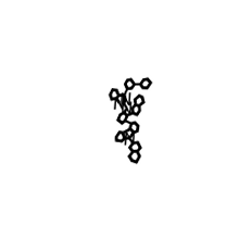 c1ccc(-c2cccc(-c3nc(-n4c5cccc(-c6cccc7c6c6ccccc6n7-c6ccc7ccccc7c6)c5c5ccc6ccccc6c54)nc4ccccc34)c2)cc1